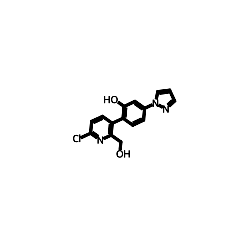 OCc1nc(Cl)ccc1-c1ccc(-n2cccn2)cc1O